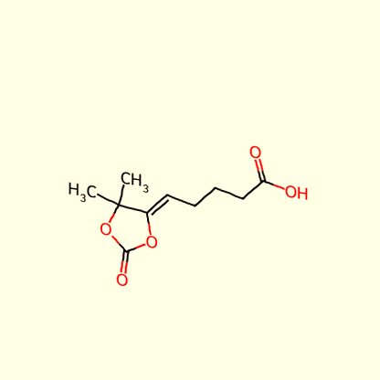 CC1(C)OC(=O)OC1=CCCCC(=O)O